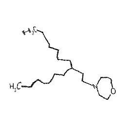 CCCCCCC(CCCCCC)CCN1CCOCC1